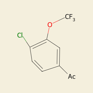 CC(=O)c1ccc(Cl)c(OC(F)(F)F)c1